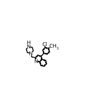 Cc1ccc(-c2cc(CN3CCNCC3)nc3ccccc23)cc1Cl